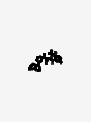 CN(C)S(=O)(=O)c1ccc(F)cc1NCC(=O)N[C@@H]1CCCN(c2ncnc3[nH]ccc23)C1